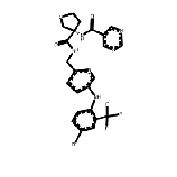 O=C(N[C@@]1(C(=O)NCc2ccc(Nc3ccc(Cl)cc3C(F)(F)F)cn2)CCOC1)c1cncnc1